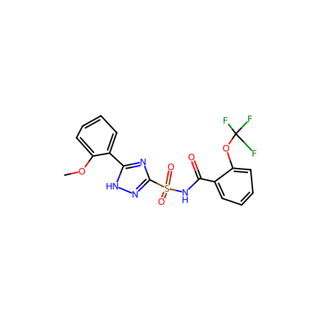 COc1ccccc1-c1nc(S(=O)(=O)NC(=O)c2ccccc2OC(F)(F)F)n[nH]1